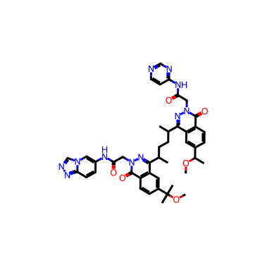 COC(C)c1ccc2c(=O)n(CC(=O)Nc3ccncn3)nc(C(C)CCC(C)c3nn(CC(=O)Nc4ccc5nncn5c4)c(=O)c4ccc(C(C)(C)OC)cc34)c2c1